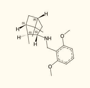 COc1cccc(OC)c1CN[C@H]1C[C@H]2C[C@@H]([C@@H]1C)C2(C)C